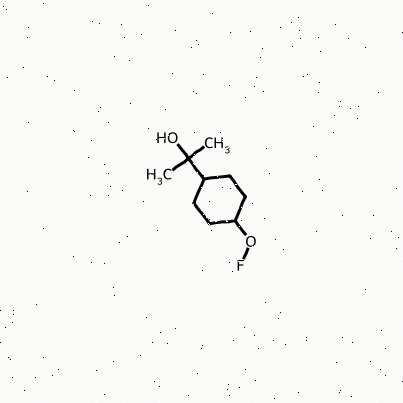 CC(C)(O)C1CCC(OF)CC1